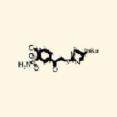 CCCCc1cnc(SCC(=O)c2ccc(Cl)c(S(N)(=O)=O)c2)nc1